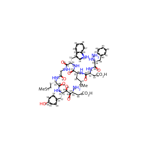 CSCC[C@H](NC(=O)CNC(=O)[C@H](Cc1c[nH]c2ccccc12)NC(=O)[C@H](CCSC)NC(=O)[C@H](CC(=O)O)NC(=O)[C@H](Cc1ccccc1)NN)C(=O)N[C@@H](Cc1ccc(O)cc1)C(=O)C(=O)[C@@H](N)CC(=O)O